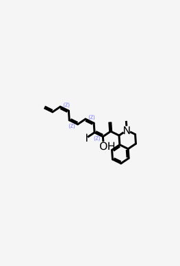 C=C\C=C/C=C\C=C/C(I)=C(/O)C(=C)C1c2ccccc2CCN1C